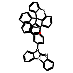 c1ccc(C2(c3ccccc3)c3ccccc3Sc3cccc(-n4c5ccccc5c5cc(-n6c7ccccc7n7c8ccccc8nc67)ccc54)c32)cc1